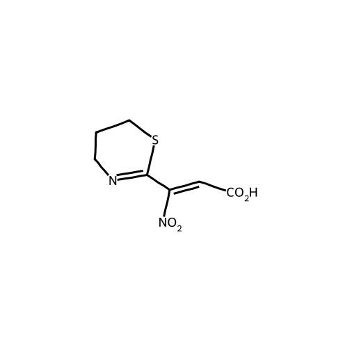 O=C(O)C=C(C1=NCCCS1)[N+](=O)[O-]